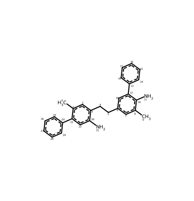 Cc1cc(CCc2cc(C)c(N)c(-c3ccccc3)c2)c(N)cc1-c1ccccc1